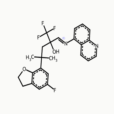 CC(C)(CC(O)(/C=N/c1cccc2ncccc12)C(F)(F)F)c1cc(F)cc2c1OCC2